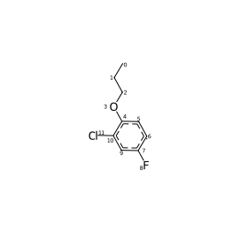 CCCOc1c[c]c(F)cc1Cl